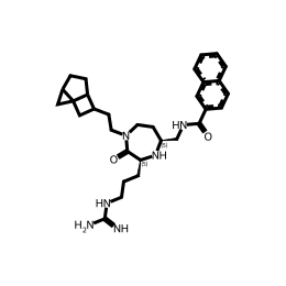 N=C(N)NCCC[C@@H]1N[C@H](CNC(=O)c2ccc3ccccc3c2)CCN(CCC2CC34CC3CCC24)C1=O